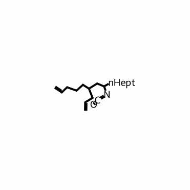 C=CCCCC(CC=C)CC(CCCCCCC)N=C=O